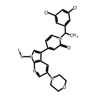 CC(c1cc(Cl)cc(Cl)c1)n1ccc(-c2cn(SI)c3ncc(N4CCOCC4)cc23)cc1=O